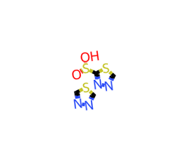 O=S(O)c1nncs1.c1nncs1